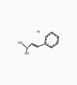 OB(O)C=Cc1ccccc1.[Fe]